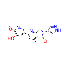 COc1ncc(-c2cc(C)c3c(n2)CN(c2cn[nH]c2)C3=O)cc1O